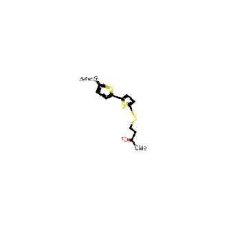 COC(=O)CCSc1ccc(-c2ccc(SC)s2)s1